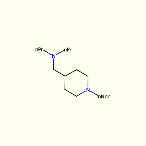 CCCCCCCCCN1CCC(CN(CCC)CCC)CC1